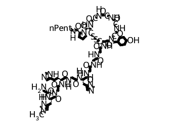 CCCCCNC(=O)[C@@H]1CCCN1C(=O)[C@@H]1CSSC[C@H](NC(=O)CNC(=O)CNC(=O)CNC(=O)[C@H](Cc2cnc[nH]2)NC(=O)CNC(=O)[C@H](CCc2cnc[nH]2)NC(=O)CNC(=O)[C@H](CC2=CN(C)CN2)NC(=O)CN)C(=O)N(CC2CCC(O)CC2)CC(=O)NCC(=O)NCC(=O)NCC(=O)N1